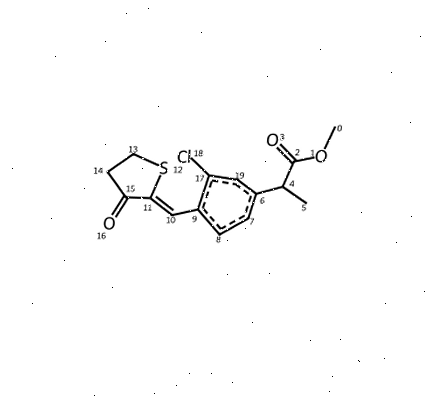 COC(=O)C(C)c1ccc(/C=C2\SCCC2=O)c(Cl)c1